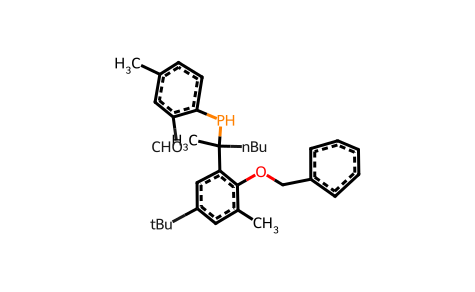 CCCCC(C)(Pc1ccc(C)cc1C=O)c1cc(C(C)(C)C)cc(C)c1OCc1ccccc1